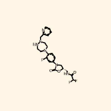 O=C(NC[C@H]1CN(c2ccc(N3CCNN(Cc4ccccn4)CC3)c(F)c2)C(=O)O1)C(F)F